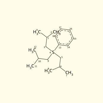 CC(C)CS(CC(C)C)(CC(C)C)c1ccccc1